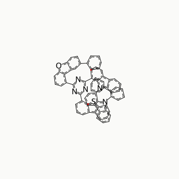 c1ccc(-c2ccc3oc4cccc(-c5nc(-c6cccc7c6sc6ccccc67)nc(-c6cccc7c8ccccc8n(-c8cccc9c%10ccccc%10n(-c%10ccccc%10-c%10ccccc%10)c89)c67)n5)c4c3c2)cc1